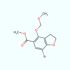 COCOc1c(C(=O)OC)cc(Br)c2c1CCO2